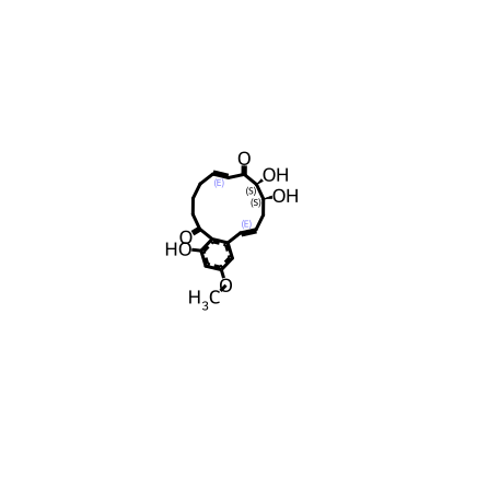 COc1cc(O)c2c(c1)/C=C/C[C@H](O)[C@H](O)C(=O)/C=C/CCCC2=O